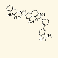 Cc1ccc(-c2cccc(-c3nc4c(ccc5cc(C(=O)N[C@@H](Cc6ccccc6)C(=O)O)cc(O)c54)[nH]3)c2)cc1C